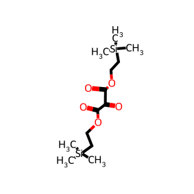 C[Si](C)(C)CCOC(=O)C(=O)C(=O)OCC[Si](C)(C)C